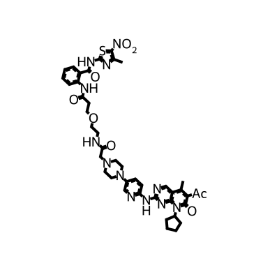 CC(=O)c1c(C)c2cnc(Nc3ccc(N4CCN(CC(=O)NCCOCCC(=O)Nc5ccccc5C(=O)Nc5nc(C)c([N+](=O)[O-])s5)CC4)cn3)nc2n(C2CCCC2)c1=O